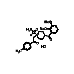 COc1cccc(C(=O)C2CC[N+](CC(=O)c3ccc(C)cc3)(S(N)(=O)=O)CC2)c1OC.Cl